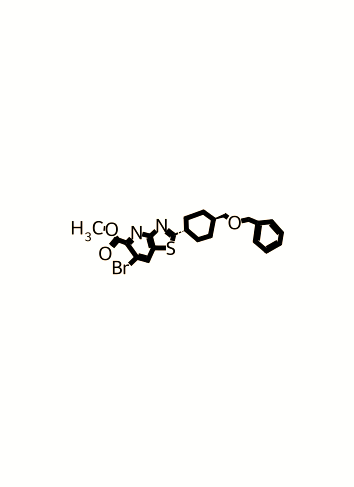 COC(=O)c1nc2nc([C@H]3CC[C@H](COCc4ccccc4)CC3)sc2cc1Br